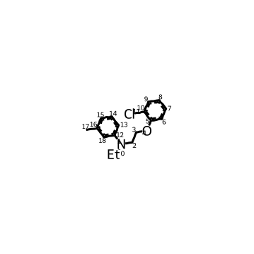 CCN(CCOc1ccccc1Cl)c1cccc(C)c1